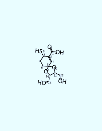 O=C(O)C1=CC2(CC[C@H]1S)O[C@@H](CO)[C@H](CO)O2